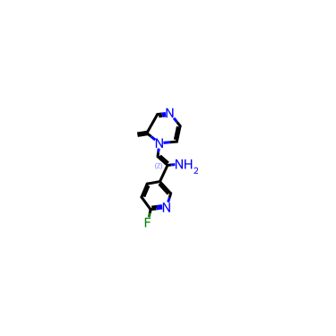 C=C1C=NC=CN1/C=C(\N)c1ccc(F)nc1